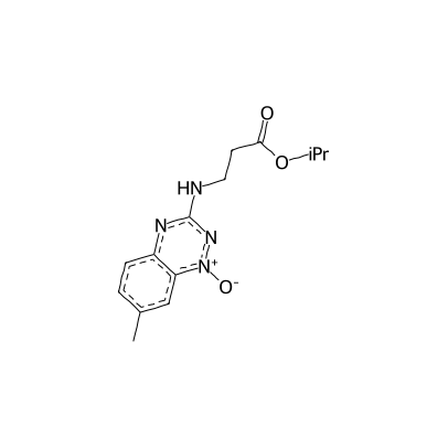 Cc1ccc2nc(NCCC(=O)OC(C)C)n[n+]([O-])c2c1